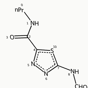 CCCNC(=O)c1nnc(NC=O)s1